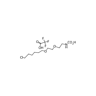 O=C(O)C(F)(F)F.O=C(O)NCCOCCOCCCCCCCl